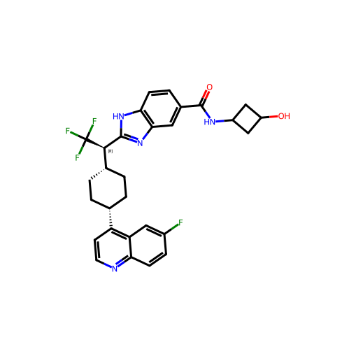 O=C(NC1CC(O)C1)c1ccc2[nH]c([C@@H]([C@H]3CC[C@@H](c4ccnc5ccc(F)cc54)CC3)C(F)(F)F)nc2c1